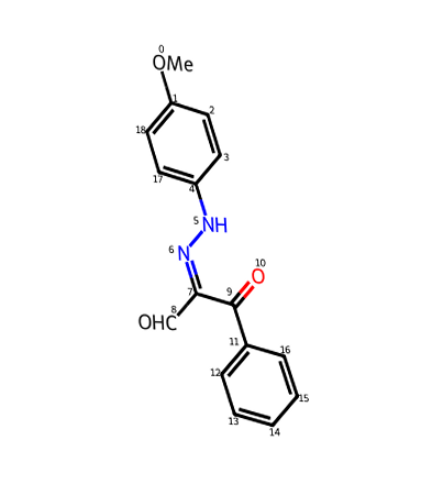 COc1ccc(NN=C(C=O)C(=O)c2ccccc2)cc1